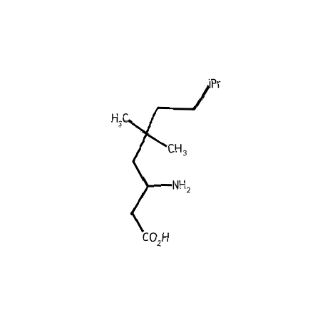 CC(C)CCC(C)(C)CC(N)CC(=O)O